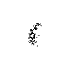 CONNc1ccc(S(N)(=O)=O)cc1.Cl